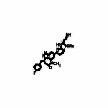 CN/C(=C\C=N)Nc1nccc(-c2cc3n4c(nnc4c2)C(Cc2ccc(F)cc2)CC(=O)N3C)n1